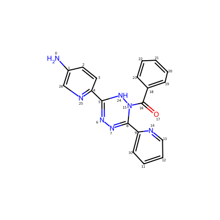 Nc1ccc(C2=NN=C(c3ccccn3)N(C(=O)c3ccccc3)N2)nc1